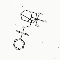 CC(C)(C)C1C2CC3CC1CC(C2)C3CNS(=O)(=O)c1ccccc1